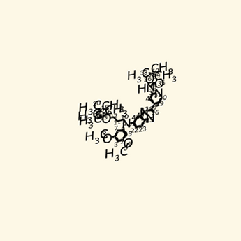 COc1cc(OC)cc(N(CCCO[Si](C)(C)C(C)(C)C)c2ccc3ncc(-c4ccnc(NC(=O)OC(C)(C)C)c4)nc3c2)c1